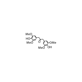 COc1cc(CC(=O)Cc2cc(OC)c(O)c(OC)c2)cc(OC)c1O